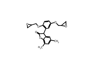 Cc1cc(C)c2c(c1)C(c1cc(OCC3CO3)ccc1OCC1CO1)C(=O)O2